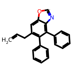 C=CCc1cc2o[c]nc2c(-c2ccccc2)c1-c1ccccc1